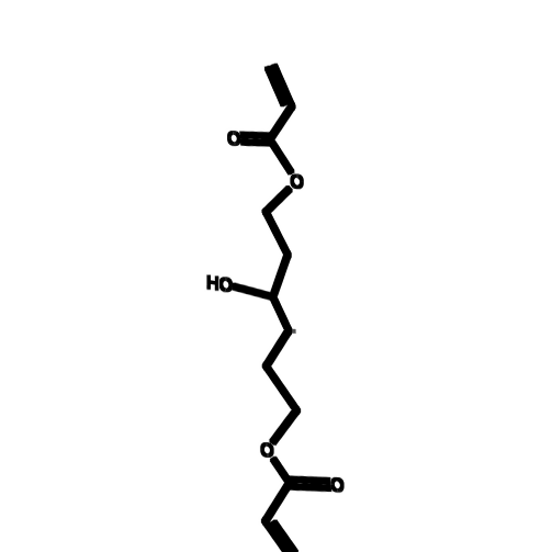 C=CC(=O)OCC[CH]C(O)CCOC(=O)C=C